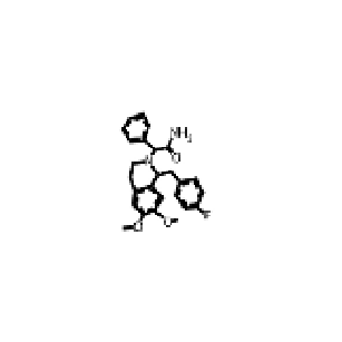 COc1cc2c(cc1OC)C(Cc1ccc(F)cc1)N(C(C(N)=O)c1ccccc1)CC2